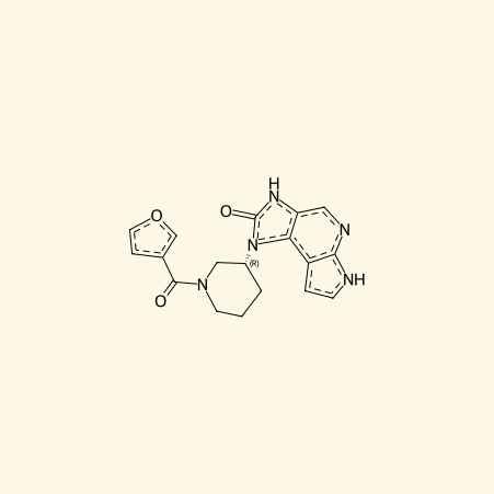 O=C(c1ccoc1)N1CCC[C@@H](n2c(=O)[nH]c3cnc4[nH]ccc4c32)C1